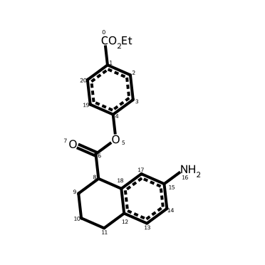 CCOC(=O)c1ccc(OC(=O)C2CCCc3ccc(N)cc32)cc1